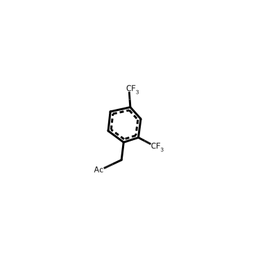 CC(=O)Cc1ccc(C(F)(F)F)cc1C(F)(F)F